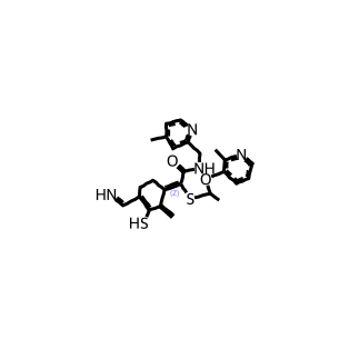 C=C1C(S)=C(C=N)CC/C1=C(/SC(C)Oc1cccnc1C)C(=O)NCc1cc(C)ccn1